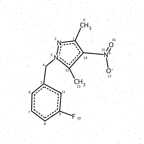 Cc1nn(Cc2cccc(F)c2)c(C)c1[N+](=O)[O-]